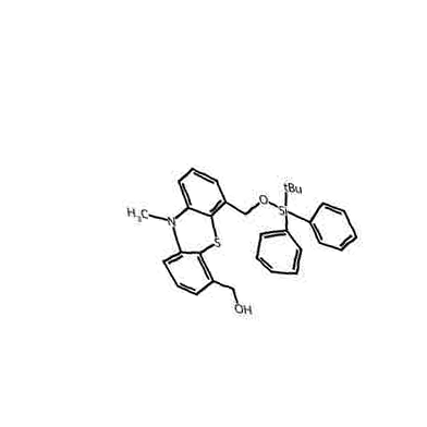 CN1c2cccc(CO)c2Sc2c(CO[Si](c3ccccc3)(c3ccccc3)C(C)(C)C)cccc21